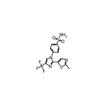 Cc1ncc(-c2nc(C(F)(F)F)cn2-c2ccc(S(N)(=O)=O)cc2)s1